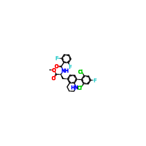 COC(=O)[C@H](Cc1ccc(-c2c(Cl)cc(F)cc2Cl)c2c1CCCN2)NC(=O)c1c(F)cccc1F